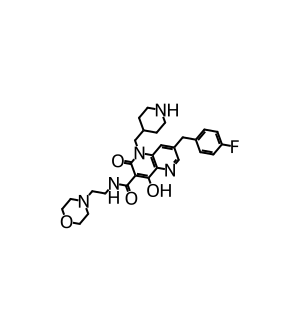 O=C(NCCN1CCOCC1)c1c(O)c2ncc(Cc3ccc(F)cc3)cc2n(CC2CCNCC2)c1=O